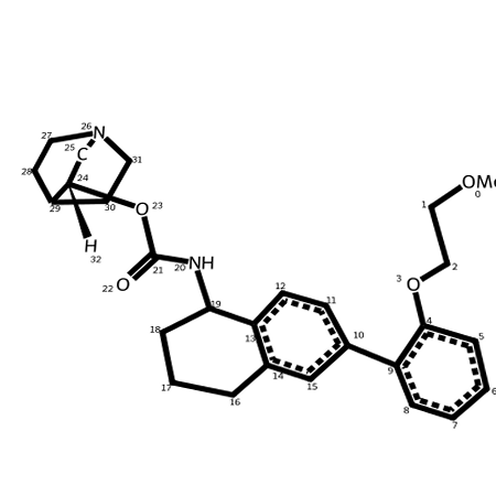 COCCOc1ccccc1-c1ccc2c(c1)CCCC2NC(=O)O[C@H]1CN2CCC1CC2